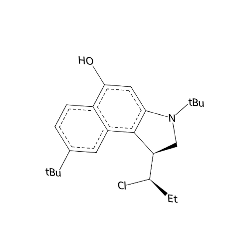 CC[C@@H](Cl)[C@@H]1CN(C(C)(C)C)c2cc(O)c3ccc(C(C)(C)C)cc3c21